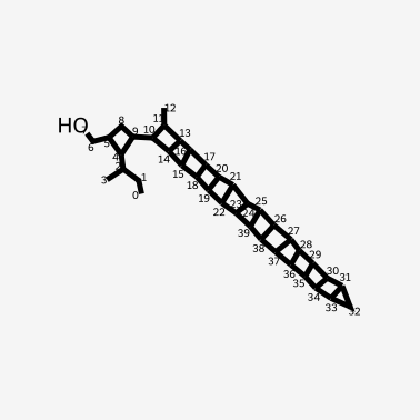 CCC(C)C1C(CO)CC1C1C(C)C2C1C1C2C2C1C1C2C2C1C1C2C2C3C4C5C6C7C8CC8C7C6C5C4C3C21